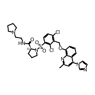 Cc1cc(-n2ccnc2)c2cccc(OCc3c(Cl)ccc(S(=O)(=O)N4CCC[C@H]4C(=O)NCCN4CCCC4)c3Cl)c2n1